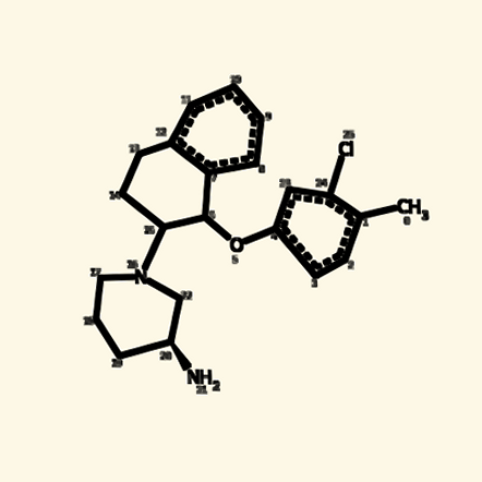 Cc1ccc(OC2c3ccccc3CCC2N2CCC[C@H](N)C2)cc1Cl